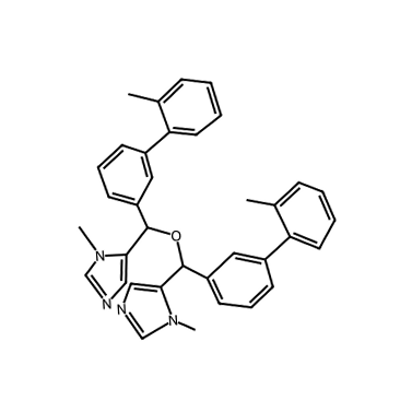 Cc1ccccc1-c1cccc(C(OC(c2cccc(-c3ccccc3C)c2)c2cncn2C)c2cncn2C)c1